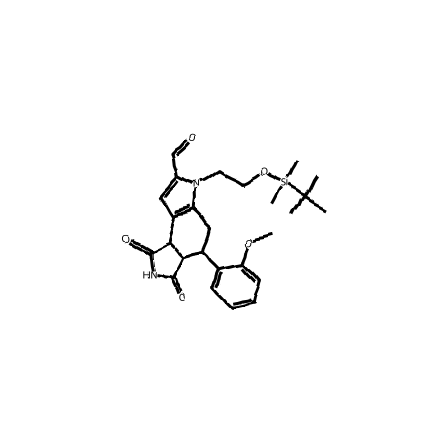 COc1ccccc1C1Cc2c(cc(C=O)n2CCO[Si](C)(C)C(C)(C)C)C2C(=O)NC(=O)C12